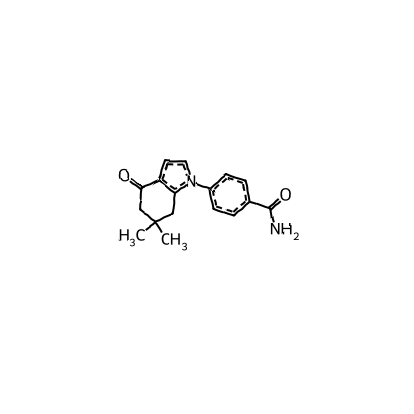 CC1(C)CC(=O)c2ccn(-c3ccc(C(N)=O)cc3)c2C1